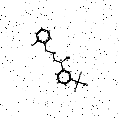 Cc1ccccc1CNC[C@H](O)c1cccc(C(F)(F)F)c1